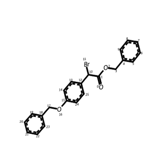 O=C(OCc1ccccc1)C(Br)c1ccc(OCc2ccccc2)cc1